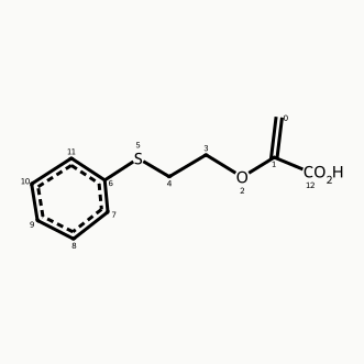 C=C(OCCSc1ccccc1)C(=O)O